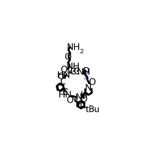 CC(C)(C)c1ccc(C[C@@H]2NC(=O)[C@@H]3CCCN(C3)C(=O)/C=C/C(=O)NCC[C@@H](C(=O)NCCOCCN)NC(=O)Cc3ccccc3CNC2=O)cc1